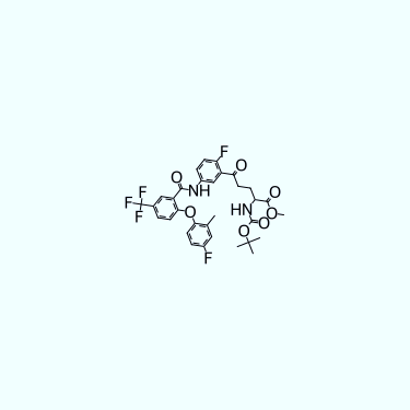 COC(=O)C(CCC(=O)c1cc(NC(=O)c2cc(C(F)(F)F)ccc2Oc2ccc(F)cc2C)ccc1F)NC(=O)OC(C)(C)C